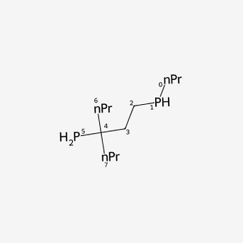 CCCPCCC(P)(CCC)CCC